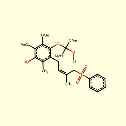 CCOC(OC)(OC)Oc1c(CC=C(C)CS(=O)(=O)c2ccccc2)c(C)c(O)c(OC)c1OC